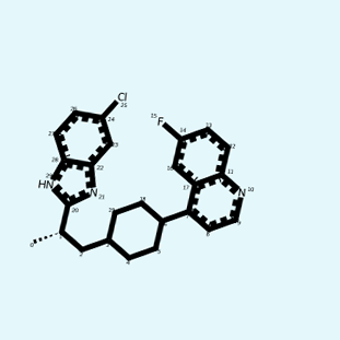 C[C@@H](CC1CCC(c2ccnc3ccc(F)cc23)CC1)c1nc2cc(Cl)ccc2[nH]1